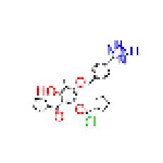 Cc1c(OCc2ccc(-c3nn[nH]n3)cc2)ccc(C(=O)C2CCCC2)c1O.O=C(Cl)C1CCCC1